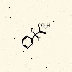 C=C(C(=O)O)C(F)(F)c1ccccc1